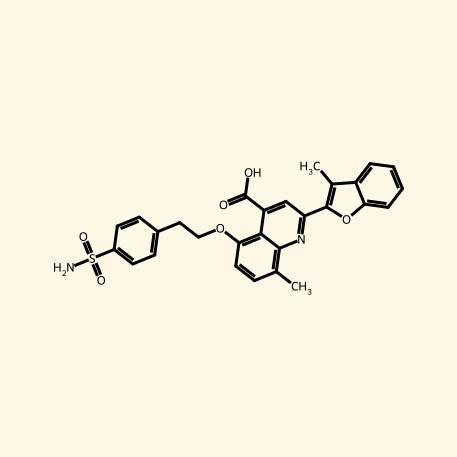 Cc1c(-c2cc(C(=O)O)c3c(OCCc4ccc(S(N)(=O)=O)cc4)ccc(C)c3n2)oc2ccccc12